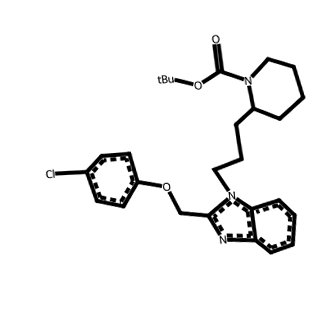 CC(C)(C)OC(=O)N1CCCCC1CCCn1c(COc2ccc(Cl)cc2)nc2ccccc21